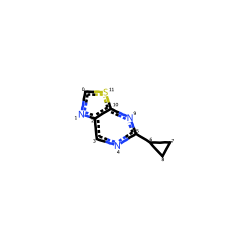 c1nc2cnc(C3CC3)nc2s1